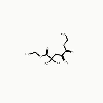 C=C(CC(C)(O)C(=O)OCC)C(=O)OCC